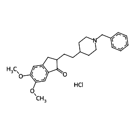 COc1cc2c(cc1OC)C(=O)C(CCC1CCN(Cc3ccccc3)CC1)C2.Cl